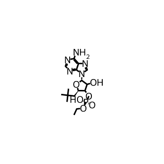 CCOP(=O)(O)OC1C(O)[C@H](n2cnc3c(N)ncnc32)O[C@@H]1CC(C)(C)C